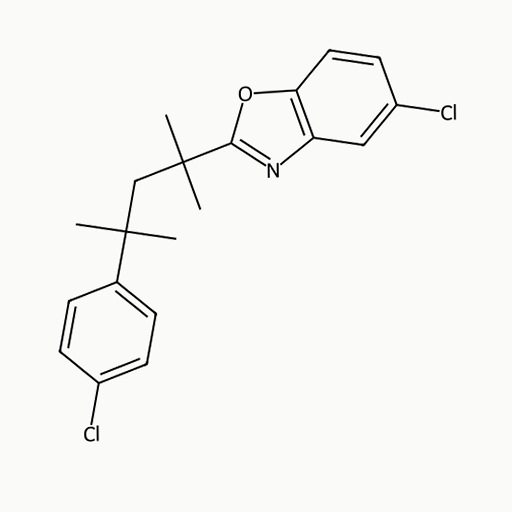 CC(C)(CC(C)(C)c1nc2cc(Cl)ccc2o1)c1ccc(Cl)cc1